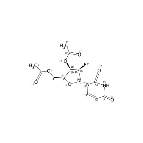 CC(=O)OC[C@@H]1O[C@@H](n2ccc(=O)[nH]c2=O)[C@H](F)[C@@H]1OC(C)=O